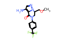 COCC1CN(c2ccc(C(F)(F)F)cc2)C(=O)c2c(N)cnn21